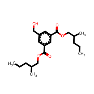 CCCC(C)COC(=O)c1cc(CO)cc(C(=O)OCC(C)CCC)c1